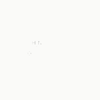 Nc1c(C=O)ccc2ccccc12